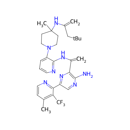 C=C(CC(C)(C)C)NC1(C)CCN(c2cccnc2NC(=C)c2nc(-c3nccc(C)c3C(F)(F)F)cnc2N)CC1